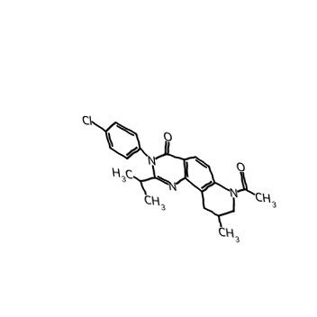 CC(=O)N1CC(C)Cc2c1ccc1c(=O)n(-c3ccc(Cl)cc3)c(C(C)C)nc21